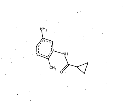 Cc1ncc(N)cc1NC(=O)C1CC1